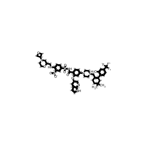 Cc1cc(C(F)(F)F)ccc1C1=C(CN2CCN(c3ccc(C(=O)NS(=O)(=O)c4ccc(NCC5CN(C6COC6)CCO5)c([N+](=O)[O-])c4)c(Oc4cnc5[nH]ccc5c4)c3)CC2)CCC(C)(C)C1